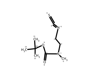 CN(CCN=C=S)C(=O)OC(C)(C)C